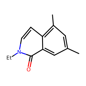 CCn1ccc2c(C)cc(C)cc2c1=O